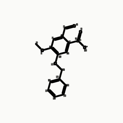 COc1cc([C]=O)c([N+](=O)[O-])cc1OCc1ccccc1